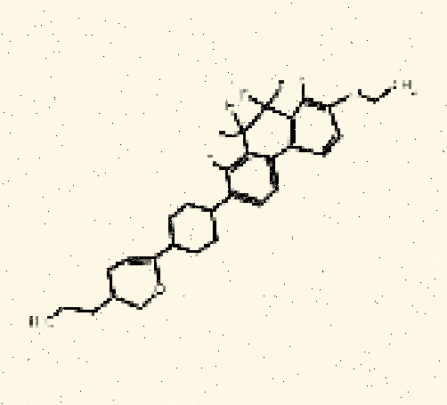 CCCC1CC=C(C2CCC(c3ccc4c(c3F)C(F)(F)C(F)(F)c3c-4ccc(OCC)c3F)CC2)OC1